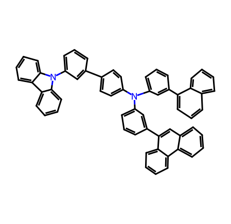 c1cc(-c2cccc3ccccc23)cc(N(c2ccc(-c3cccc(-n4c5ccccc5c5ccccc54)c3)cc2)c2cccc(-c3cc4ccccc4c4ccccc34)c2)c1